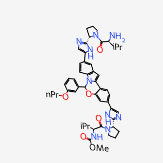 CCCOc1cccc(C2Oc3cc(-c4cnc([C@@H]5CCCN5C(=O)[C@@H](NC(=O)OC)C(C)C)[nH]4)ccc3-c3cc4cc(-c5cnc([C@@H]6CCCN6C(=O)[C@@H](N)C(C)C)[nH]5)ccc4n32)c1